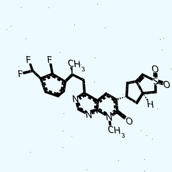 C[C@@H](Cc1ncnc2c1cc([C@@H]1CC3=CS(=O)(=O)C[C@H]3C1)c(=O)n2C)c1cccc(C(F)F)c1F